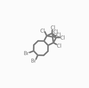 ClC1=C(Cl)C2(Cl)C3CCC(Br)C(Br)CCC3C1(Cl)C2(Cl)Cl